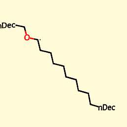 CCCCCCCCCCCCCCCCCCC[CH]OCCCCCCCCCCC